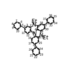 CCN1c2cc(-c3ccccc3)ccc2N2c3ccc(-c4ccccc4)cc3N(CC)c3cc(-c4ccccc4)cc1c32